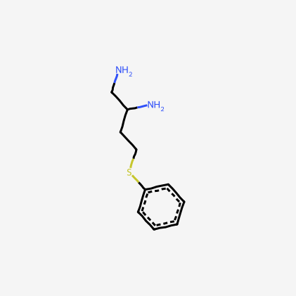 NCC(N)CCSc1ccccc1